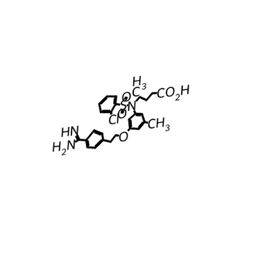 Cc1cc(OCCc2ccc(C(=N)N)cc2)cc(N(C(C)CCC(=O)O)S(=O)(=O)c2ccccc2Cl)c1